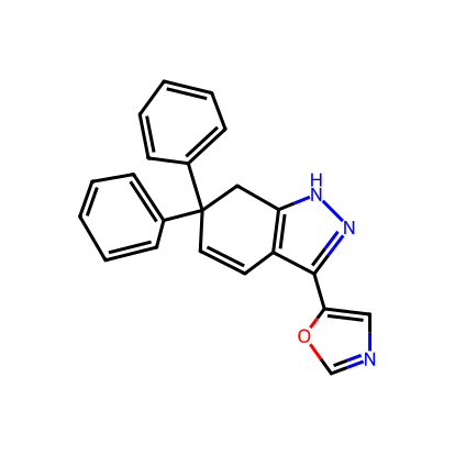 C1=CC(c2ccccc2)(c2ccccc2)Cc2[nH]nc(-c3cnco3)c21